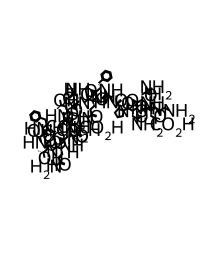 CC(C)[C@H](NC(=O)[C@H](CC(=O)O)NC(=O)[C@H](CC(=O)O)NC(=O)[C@@H](NC(=O)[C@H](CC(N)=O)NC(=O)[C@H](CCC(N)=O)NC(=O)[C@H](Cc1ccccc1)NC(=O)CNC(=O)[C@@H]1CCCN1C(=O)[C@H](CC(N)=O)NC(=O)[C@H](CC(N)=O)NC(=O)[C@H](CCC(=O)O)NC(=O)CN)[C@@H](C)O)C(=O)N[C@@H](CCC(N)=O)C(=O)N[C@H](C(=O)N[C@@H](CO)C(=O)N[C@@H](Cc1ccccc1)C(=O)O)[C@@H](C)O